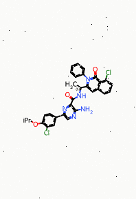 CC(C)Oc1ccc(-c2cnc(N)c(C(=O)N[C@@H](C)c3cc4cccc(Cl)c4c(=O)n3-c3ccccc3)n2)cc1Cl